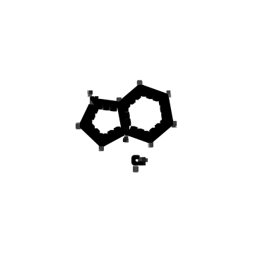 [Cu].c1ccn2ccnc2c1